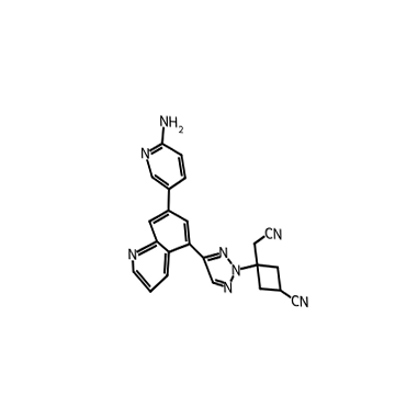 N#CCC1(n2ncc(-c3cc(-c4ccc(N)nc4)cc4ncccc34)n2)CC(C#N)C1